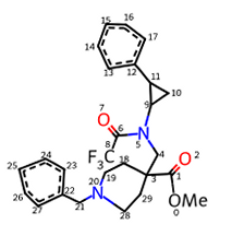 COC(=O)C1(CN(C(=O)C(F)(F)F)C2CC2c2ccccc2)CCN(Cc2ccccc2)CC1